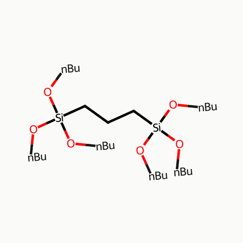 CCCCO[Si](CCC[Si](OCCCC)(OCCCC)OCCCC)(OCCCC)OCCCC